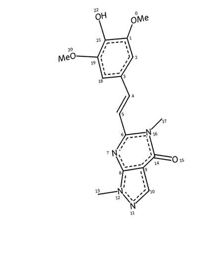 COc1cc(C=Cc2nc3c(cnn3C)c(=O)n2C)cc(OC)c1O